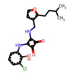 CC(C)CCc1occc1CNc1c(Nc2cccc(Cl)c2O)c(=O)c1=O